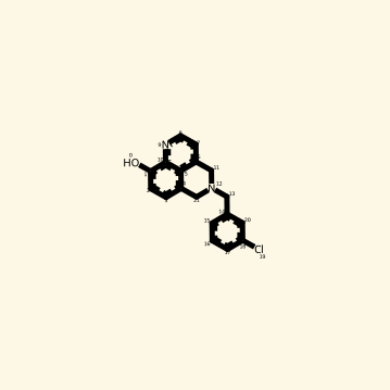 Oc1ccc2c3c(ccnc13)CN(Cc1cccc(Cl)c1)C2